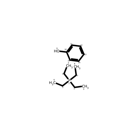 CC[P](CC)(CC)CC.Oc1ccccc1